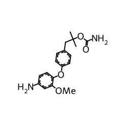 COc1cc(N)ccc1Oc1ccc(CC(C)(C)OC(N)=O)cc1